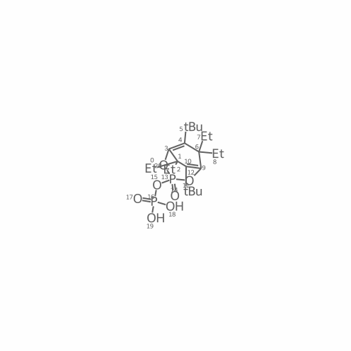 CCC1(CC)C2=C(C(C)(C)C)C(CC)(CC)C(=C1C(C)(C)C)OP(=O)(OP(=O)(O)O)O2